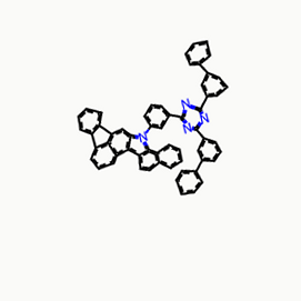 c1ccc(-c2cccc(-c3nc(-c4cccc(-c5ccccc5)c4)nc(-c4cccc(-n5c6cc7c8c(cccc8c6c6ccc8ccccc8c65)-c5ccccc5-7)c4)n3)c2)cc1